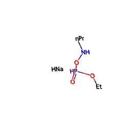 CCCNO[PH](=O)OCC.[NaH]